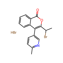 Br.Cc1ccc(-c2c(C(C)Br)oc(=O)c3ccccc23)cn1